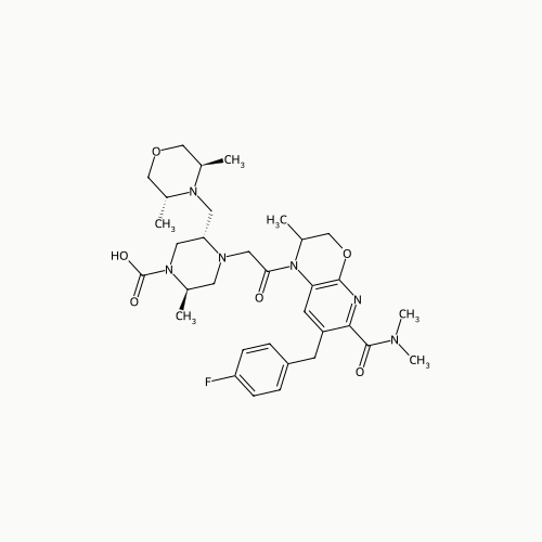 CC1COc2nc(C(=O)N(C)C)c(Cc3ccc(F)cc3)cc2N1C(=O)CN1C[C@@H](C)N(C(=O)O)C[C@@H]1CN1[C@H](C)COC[C@H]1C